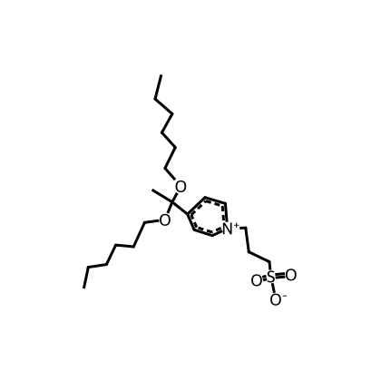 CCCCCCOC(C)(OCCCCCC)c1cc[n+](CCCS(=O)(=O)[O-])cc1